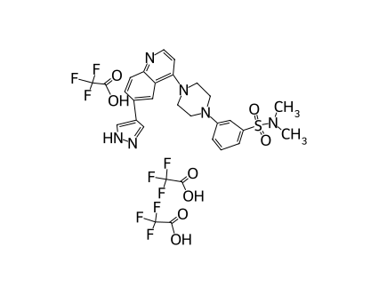 CN(C)S(=O)(=O)c1cccc(N2CCN(c3ccnc4ccc(-c5cn[nH]c5)cc34)CC2)c1.O=C(O)C(F)(F)F.O=C(O)C(F)(F)F.O=C(O)C(F)(F)F